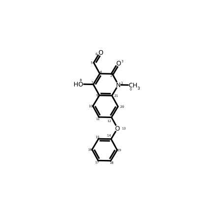 Cn1c(=O)c(C=O)c(O)c2ccc(Oc3ccccc3)cc21